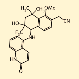 COc1c(CC#N)ccc2c1C(C)(C)CC(O)(C(F)(F)F)C2Nc1cccc2[nH]c(=O)ccc12